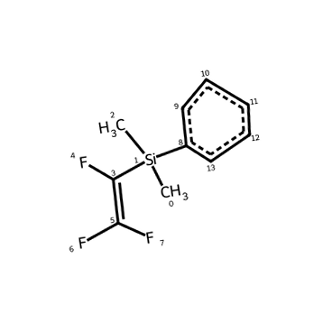 C[Si](C)(C(F)=C(F)F)c1ccccc1